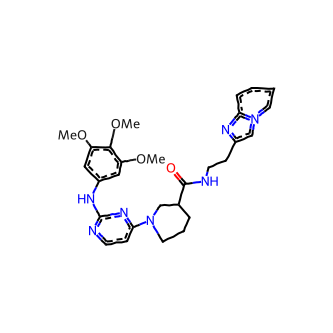 COc1cc(Nc2nccc(N3CCCC(C(=O)NCCc4cn5ccccc5n4)C3)n2)cc(OC)c1OC